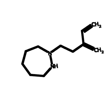 C=CC(=C)CCN1CCCCCN1